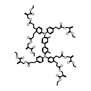 C=C(COC(=O)CCc1ccc(N(c2ccc(CCC(=O)OCC(=C)C(=O)OCC)c(CCC(=O)OCC(=C)C(=O)OCC)c2)c2ccc(-c3ccc(N(c4ccc(CCC(=O)OCC(=C)C(=O)OCC)cc4)c4ccc(CCC(=O)OCC(=C)C(=O)OCC)c(CCC(=O)OCC(=C)C(=O)OCC)c4)c(C)c3)cc2C)cc1)C(=O)OCC